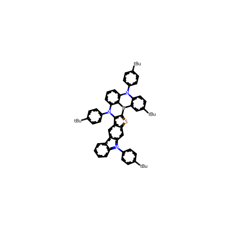 CC(C)(C)c1ccc(N2c3ccc(C(C)(C)C)cc3B3c4sc5cc6c(cc5c4N(c4ccc(C(C)(C)C)cc4)c4cccc2c43)c2ccccc2n6-c2ccc(C(C)(C)C)cc2)cc1